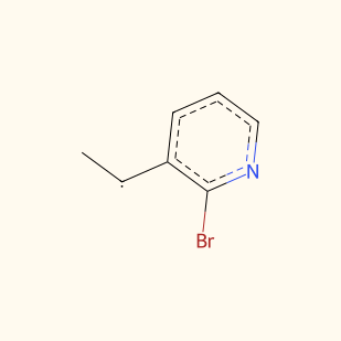 C[CH]c1cccnc1Br